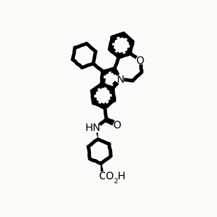 O=C(N[C@H]1CC[C@H](C(=O)O)CC1)c1ccc2c(C3CCCCC3)c3n(c2c1)CCOc1ccccc1-3